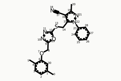 Cc1ccc(C)c(OCc2nnc(SCc3c(C#N)c(C)nn3-c3ccccc3)o2)c1